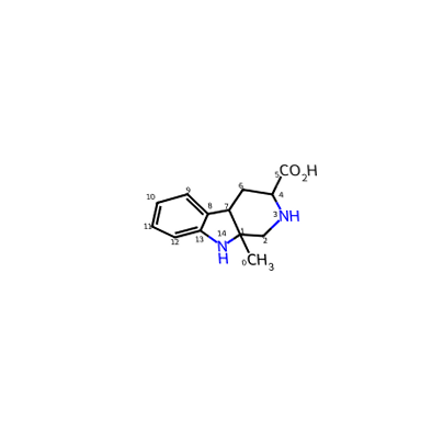 CC12CNC(C(=O)O)CC1c1ccccc1N2